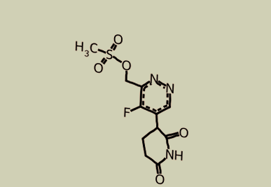 CS(=O)(=O)OCc1nncc(C2CCC(=O)NC2=O)c1F